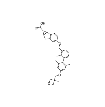 Cc1cc(OCC2(C)COC2)cc(C)c1-c1cccc(COc2ccc3c(c2)CC2C(C(=O)O)C32)c1C